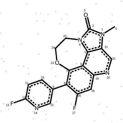 Cn1c(=O)n2c3c4c(c(-c5ccc(F)nc5)c(F)cc4ncc31)OCC2